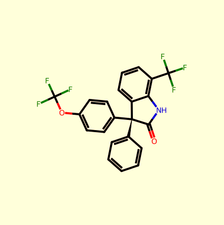 O=C1Nc2c(C(F)(F)F)cccc2[C@@]1(c1ccccc1)c1ccc(OC(F)(F)F)cc1